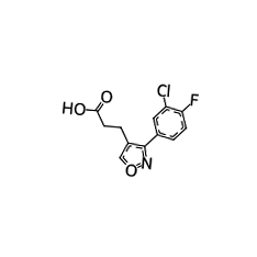 O=C(O)CCc1conc1-c1ccc(F)c(Cl)c1